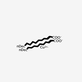 CCCCCCCCCCCCCCCCCC=CC(=O)[O-].CCCCCCCCCCCCCCCCCC=CC(=O)[O-].[Cu+2]